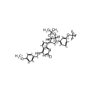 COc1ccc(CNc2nc(Cl)nc3c2ccn3[C@@H]2C[C@H](c3cccc(OC(F)(F)F)c3)[C@H]3OC(C)(C)O[C@H]32)cc1